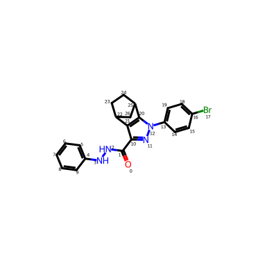 O=C(NNc1ccccc1)c1nn(-c2ccc(Br)cc2)c2c1C1CCC2C1